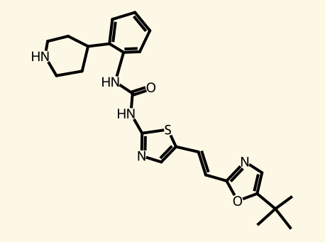 CC(C)(C)c1cnc(/C=C/c2cnc(NC(=O)Nc3ccccc3C3CCNCC3)s2)o1